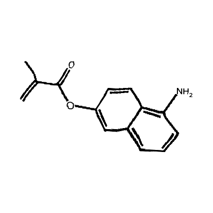 C=C(C)C(=O)Oc1ccc2c(N)cccc2c1